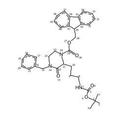 CC(C)(C)OC(=O)NCCCC1C(=O)N(Cc2ccccc2)CCN1C(=O)OCC1c2ccccc2-c2ccccc21